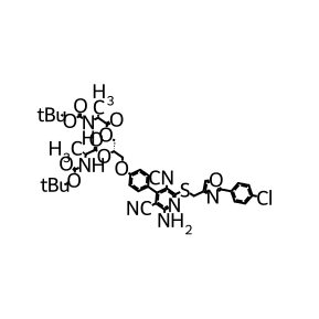 C[C@H](NC(=O)OC(C)(C)C)C(=O)OC[C@H](COc1ccc(-c2c(C#N)c(N)nc(SCc3coc(-c4ccc(Cl)cc4)n3)c2C#N)cc1)OC(=O)[C@H](C)NC(=O)OC(C)(C)C